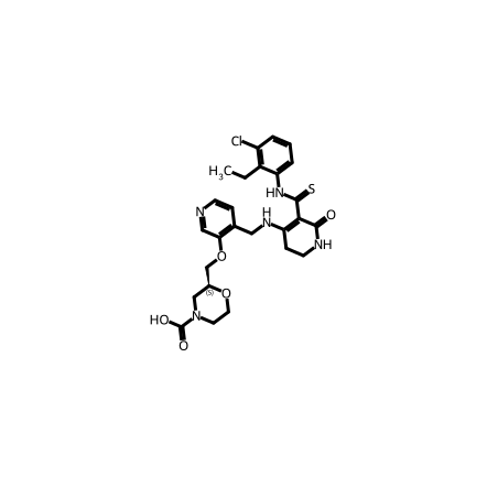 CCc1c(Cl)cccc1NC(=S)C1=C(NCc2ccncc2OC[C@@H]2CN(C(=O)O)CCO2)CCNC1=O